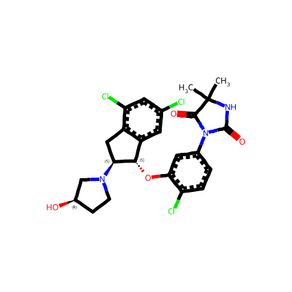 CC1(C)NC(=O)N(c2ccc(Cl)c(O[C@H]3c4cc(Cl)cc(Cl)c4C[C@@H]3N3CC[C@@H](O)C3)c2)C1=O